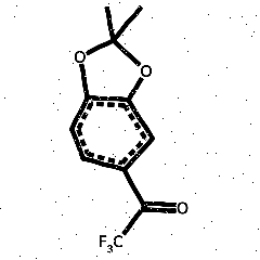 CC1(C)Oc2ccc(C(=O)C(F)(F)F)cc2O1